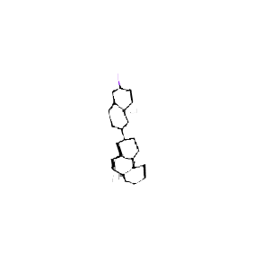 IC1CC[C@H]2CC(C3C=C4C=C[C@H]5CCCCC5C4CC3)CCC2C1